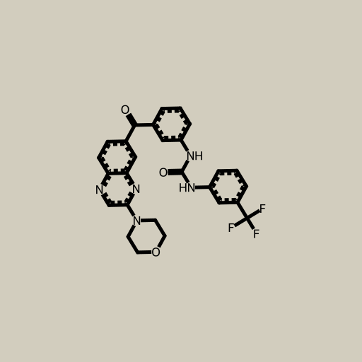 O=C(Nc1cccc(C(=O)c2ccc3ncc(N4CCOCC4)nc3c2)c1)Nc1cccc(C(F)(F)F)c1